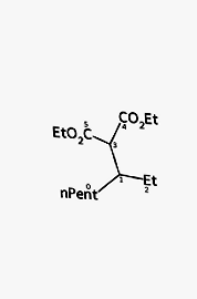 CCCCCC(CC)C(C(=O)OCC)C(=O)OCC